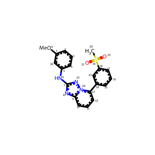 COc1cccc(Nc2nc3cccc(-c4cccc(S(C)(=O)=O)c4)n3n2)c1